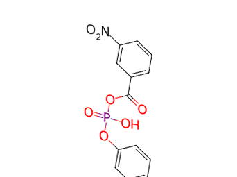 O=C(OP(=O)(O)Oc1ccccc1)c1cccc([N+](=O)[O-])c1